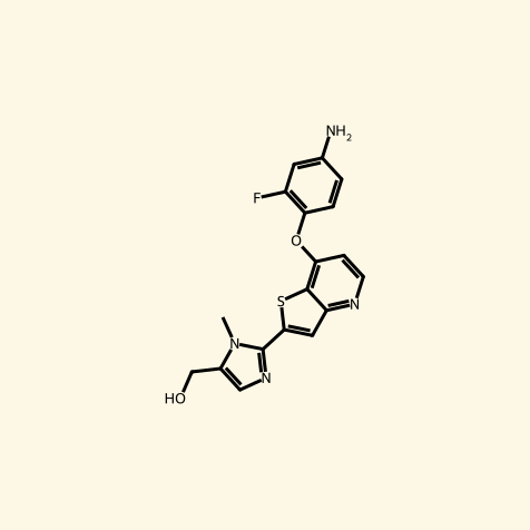 Cn1c(CO)cnc1-c1cc2nccc(Oc3ccc(N)cc3F)c2s1